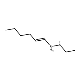 CCCCC=C[SiH2]NCC